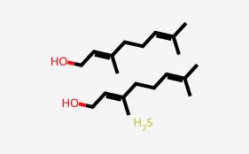 CC(C)=CCC/C(C)=C/CO.CC(C)=CCC/C(C)=C/CO.S